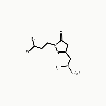 CCC(CC)CCN1N=C(CN(C)C(=O)O)CC1=O